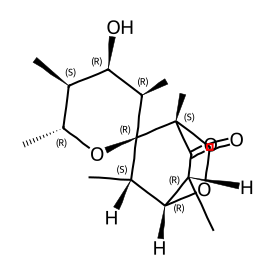 C[C@H]1[C@@H](O)[C@@H](C)[C@@]2(O[C@@H]1C)[C@@H](C)[C@H]1OC(=O)[C@]2(C)C(=O)[C@@H]1C